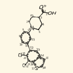 O=C(O)C1CCN(c2cccc(-c3cc4ccsc4c(Cl)c3Cl)c2)CC1